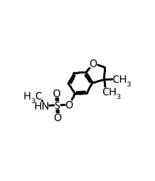 CNS(=O)(=O)Oc1ccc2c(c1)C(C)(C)CO2